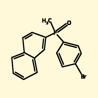 CP(=O)(c1ccc(Br)cc1)c1ccc2ccccc2c1